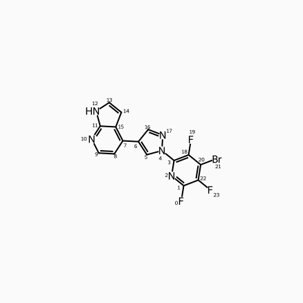 Fc1nc(-n2cc(-c3ccnc4[nH]ccc34)cn2)c(F)c(Br)c1F